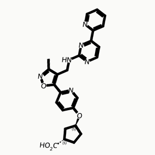 Cc1noc(-c2ccc(O[C@H]3CC[C@H](C(=O)O)C3)cn2)c1CNc1nccc(-c2ccccn2)n1